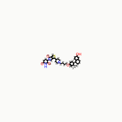 CC[C@H]1CCc2cc(O)ccc2[C@H]1c1ccc(OCCCCN2CCC(c3scc4c3CN(C3CCC(=O)NC3=O)C4=O)CC2)cc1